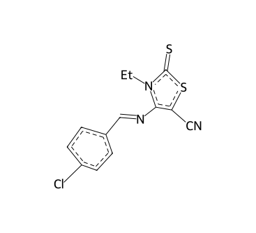 CCn1c(N=Cc2ccc(Cl)cc2)c(C#N)sc1=S